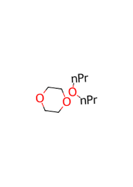 C1COCCO1.CCCOCCC